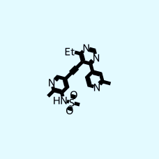 CCc1ncnc(-c2ccnc(C)c2)c1C#Cc1cnc(C)c(NS(C)(=O)=O)c1